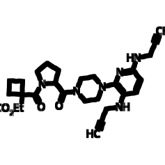 C#CCNc1ccc(NCC#C)c(N2CCN(C(=O)C3CCCN3C(=O)C3(C(=O)OCC)CCC3)CC2)n1